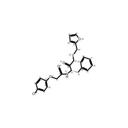 O=C(COc1ccc(Cl)cc1)N[C@@H](Cc1ccccc1)C(=O)CSCc1ccco1